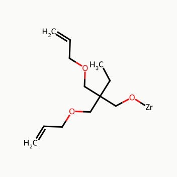 C=CCOCC(CC)(C[O][Zr])COCC=C